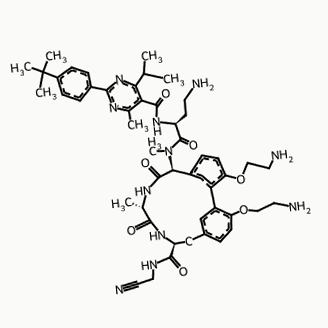 Cc1nc(-c2ccc(C(C)(C)C)cc2)nc(C(C)C)c1C(=O)N[C@@H](CCN)C(=O)N(C)[C@@H]1C(=O)N[C@@H](C)C(=O)N[C@H](C(=O)NCC#N)Cc2ccc(OCCN)c(c2)-c2cc1ccc2OCCN